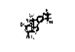 [2H]C([2H])([2H])c1ccc(C(C)(O)C(F)(F)F)cc1-c1cnc2c(N)nc(Br)cn12